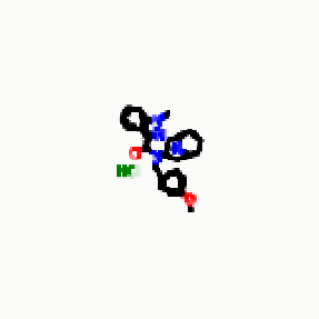 COc1ccc(CN(C(=O)c2nn(C)c3ccccc23)C2CC3CCCC(C2)N3C)cc1.Cl